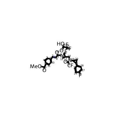 COC(=O)c1ccc(/C=C/C(=O)N2CC(CN(C(=O)C(F)(F)F)C3CC3c3ccc(F)cc3)C2)cc1.O=C(O)C(F)(F)F